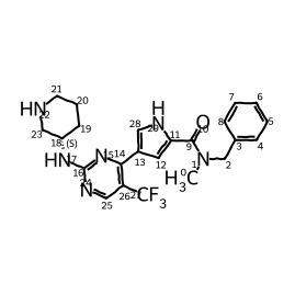 CN(Cc1ccccc1)C(=O)c1cc(-c2nc(N[C@H]3CCCNC3)ncc2C(F)(F)F)c[nH]1